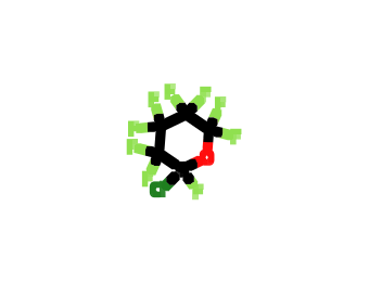 FC1(F)O[Si](F)(Cl)C(F)(F)C(F)(F)C1(F)F